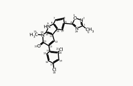 Cc1noc(-c2ccc3[nH]c4c(cc(-c5ccc(Cl)cc5Cl)c(=O)n4C)c3c2)n1